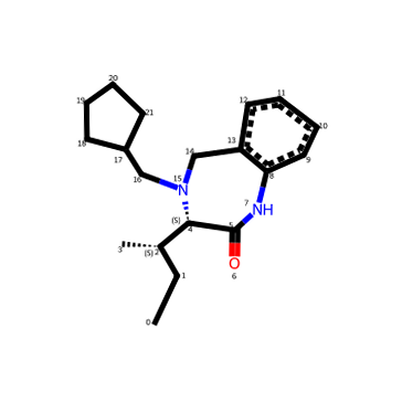 CC[C@H](C)[C@H]1C(=O)Nc2ccccc2CN1CC1CCCC1